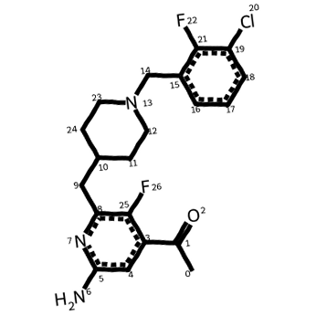 CC(=O)c1cc(N)nc(CC2CCN(Cc3cccc(Cl)c3F)CC2)c1F